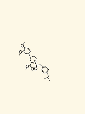 COC(=O)C1CC(c2ccc(OC)c(OC)c2)CCN1C(=O)Cc1ccc(CC(C)C)cc1